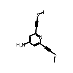 Nc1cc(C#CSI)nc(C#CSI)c1